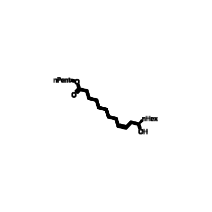 CCCCCC[C@@H](O)C/C=C\CCCCCCCC(=O)OCCCCC